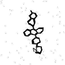 Cc1ccc2cc(-c3c4ccccc4c(-c4ccc(C5=NC=CCC5)cc4)c4ccccc34)ccc2c1